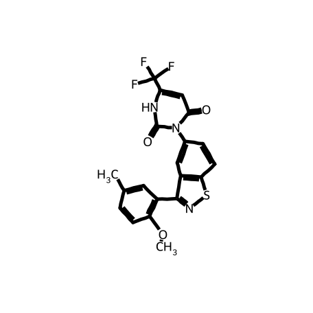 COc1ccc(C)cc1-c1nsc2ccc(-n3c(=O)cc(C(F)(F)F)[nH]c3=O)cc12